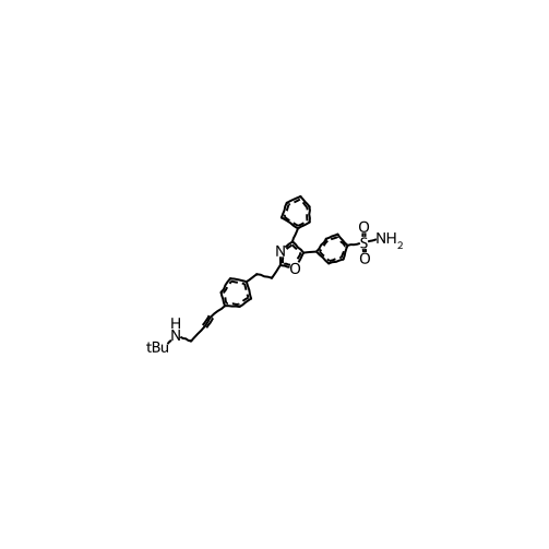 CC(C)(C)NCC#Cc1ccc(CCc2nc(-c3ccccc3)c(-c3ccc(S(N)(=O)=O)cc3)o2)cc1